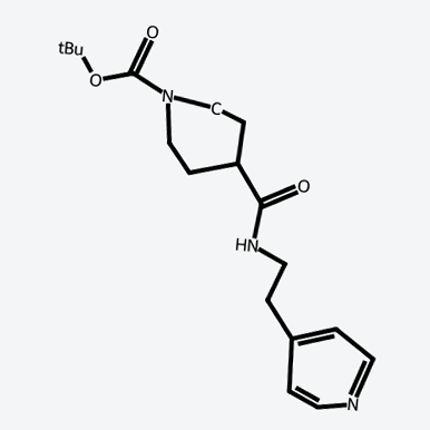 CC(C)(C)OC(=O)N1CCC(C(=O)NCCc2ccncc2)CC1